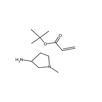 C=CC(=O)OC(C)(C)C.CN1CCC(N)C1